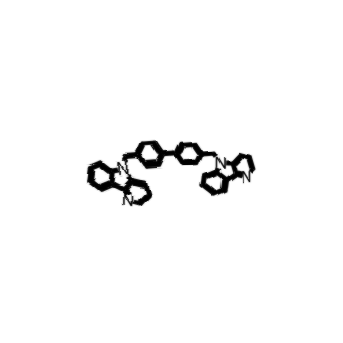 c1ccc2c(c1)c1ncccc1n2Cc1ccc(-c2ccc(Cn3c4ccccc4c4ncccc43)cc2)cc1